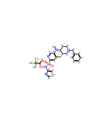 Cc1cc(S(=O)(=O)N(OC(=O)C(F)(F)F)c2cscn2)ncc1N(C)C1CCN(Cc2ccccc2)CC1